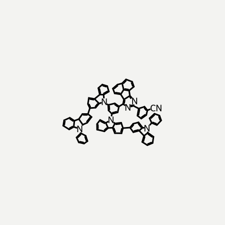 N#Cc1cccc(-c2nc(-c3cc(-n4c5ccccc5c5ccc(C6=CC7c8ccccc8N(c8ccccc8)C7C=C6)cc54)cc(-n4c5ccccc5c5ccc(-c6ccc7c(c6)c6ccccc6n7-c6ccccc6)cc54)c3)c3c(n2)-c2cccc4cccc-3c24)c1